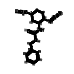 CCOC(=O)[C@H]1CC[C@H](N=[N+]=[N-])[C@H](NC(=O)OCc2ccccc2)C1